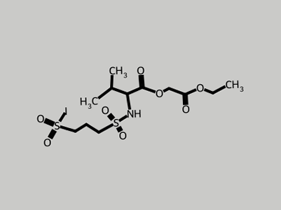 CCOC(=O)COC(=O)C(NS(=O)(=O)CCCS(=O)(=O)I)C(C)C